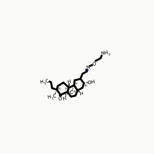 CCC[C@@]1(C)CC[C@H]2[C@@H](CC[C@@H]3C[C@@H](O)C(C/C=N/OCCN)C[C@@]32C)C1=O